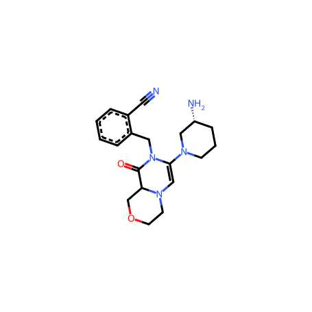 N#Cc1ccccc1CN1C(=O)C2COCCN2C=C1N1CCC[C@@H](N)C1